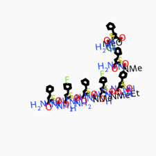 CCNC(=O)Nc1sc(-c2ccccc2)cc1C(N)=O.CNC(=O)Nc1sc(-c2ccc(F)cc2)cc1C(N)=O.CNC(=O)Nc1sc(-c2cccc(Cl)c2)cc1C(N)=O.CNC(=O)Nc1sc(-c2ccccc2)cc1C(N)=O.COC(=O)c1cc(-c2ccccc2)sc1NC(N)=O.NC(=O)Nc1sc(-c2ccc(F)cc2)cc1C(N)=O.NC(=O)Nc1sc(-c2ccccc2)cc1C(N)=O